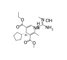 CCOC(=O)C1=CNC(C)=C(C(=O)OC)[C@@H]1C1CCCC1.CN=C(N)S.Cl